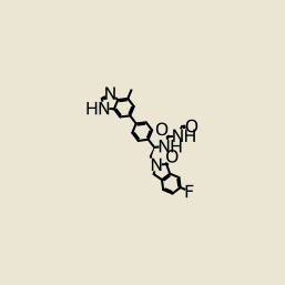 Cc1cc(-c2ccc([C@H](CN3Cc4ccc(F)cc4C3=O)NC(=O)NC=O)cc2)cc2[nH]cnc12